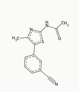 CC(=O)Nc1nc(C)c(-c2cccc(C#N)c2)s1